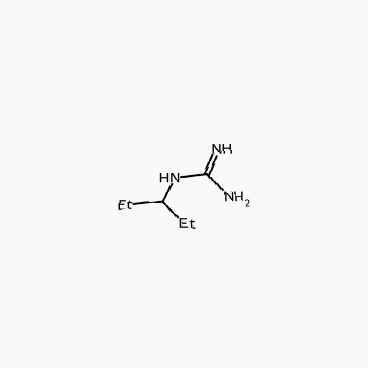 [CH2]CC(CC)NC(=N)N